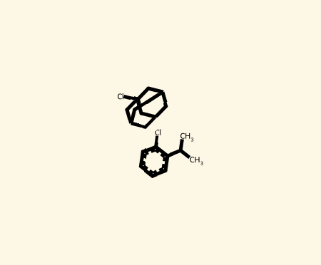 CC(C)c1ccccc1Cl.ClC12CC3CC(CC(C3)C1)C2